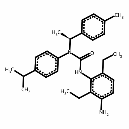 CCc1ccc(N)c(CC)c1NC(=O)N(c1ccc(C(C)C)cc1)[C@@H](C)c1ccc(C)cc1